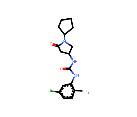 Cc1ccc(Cl)cc1NC(=O)NC1CC(=O)N(C2CCCC2)C1